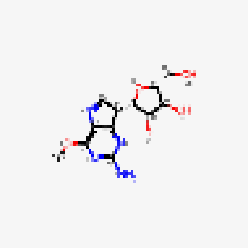 CCOc1nc(N)nc2c1N=CC2[C@@H]1O[C@H](CO)[C@@H](O)[C@H]1O